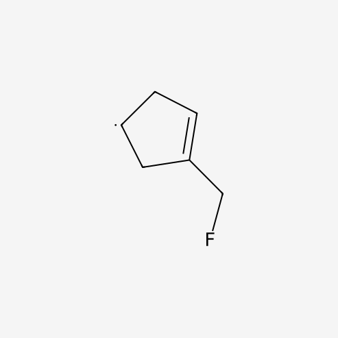 FCC1=CC[CH]C1